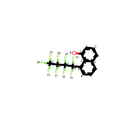 [O]c1cccc2cccc(C(F)(F)C(F)(F)C(F)(F)C(F)(F)F)c12